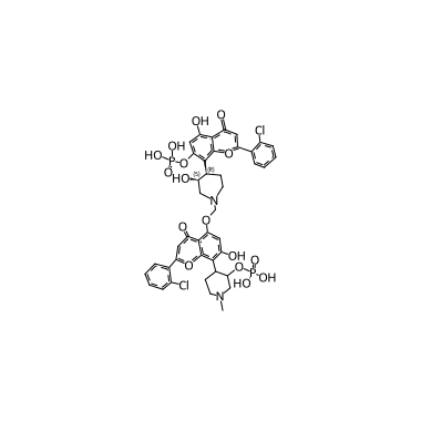 CN1CCC(c2c(O)cc(OCN3CC[C@H](c4c(OP(=O)(O)O)cc(O)c5c(=O)cc(-c6ccccc6Cl)oc45)[C@H](O)C3)c3c(=O)cc(-c4ccccc4Cl)oc23)C(OP(=O)(O)O)C1